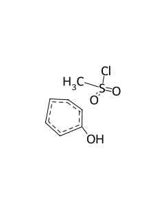 CS(=O)(=O)Cl.Oc1ccccc1